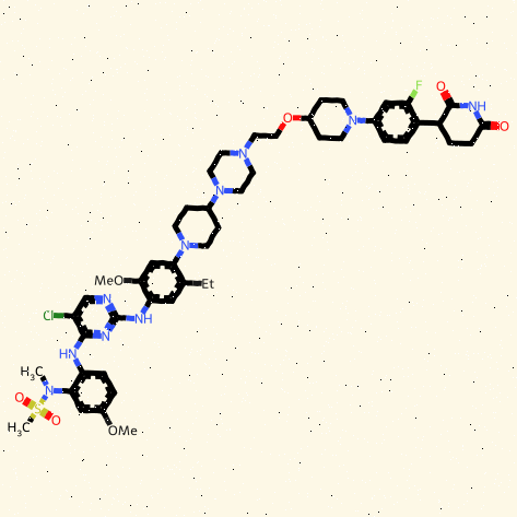 CCc1cc(Nc2ncc(Cl)c(Nc3ccc(OC)cc3N(C)S(C)(=O)=O)n2)c(OC)cc1N1CCC(N2CCN(CCOC3CCN(c4ccc(C5CCC(=O)NC5=O)c(F)c4)CC3)CC2)CC1